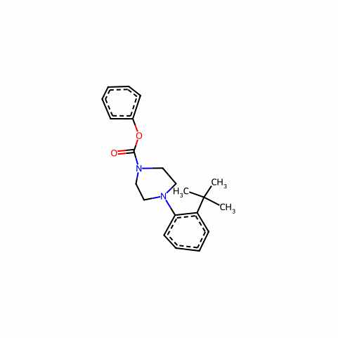 CC(C)(C)c1ccccc1N1CCN(C(=O)Oc2ccccc2)CC1